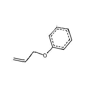 C=CCOc1c[c]ccc1